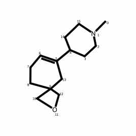 CN1CCC(C2=CCCC3(COC3)C2)CC1